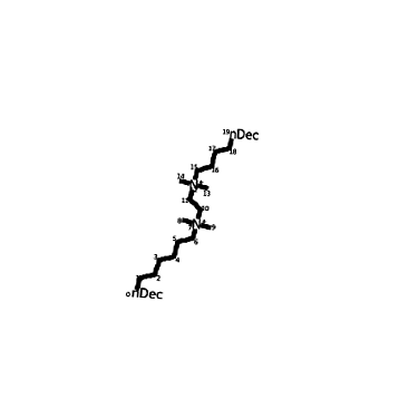 CCCCCCCCCCCCCCCC[N+](C)(C)CC[N+](C)(C)CCCCCCCCCCCCCC